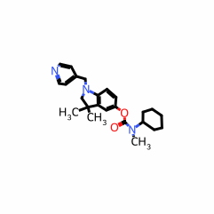 CN(C(=O)Oc1ccc2c(c1)C(C)(C)CN2Cc1ccncc1)C1CCCCC1